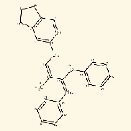 CC(=COc1ccc2c(c1)CCC2)C(=Nc1ccccc1)Oc1ccccc1